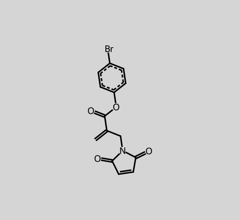 C=C(CN1C(=O)C=CC1=O)C(=O)Oc1ccc(Br)cc1